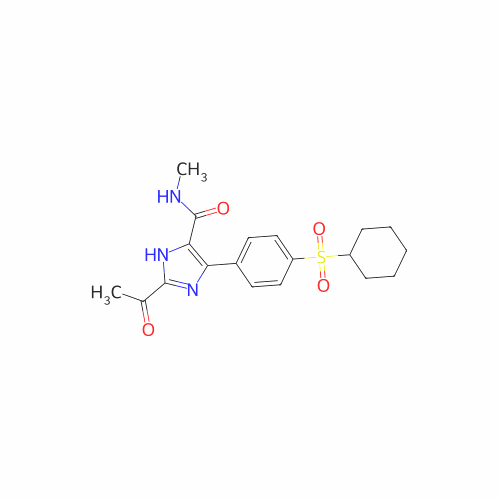 CNC(=O)c1[nH]c(C(C)=O)nc1-c1ccc(S(=O)(=O)C2CCCCC2)cc1